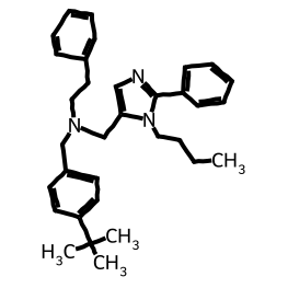 CCCCn1c(CN(CCc2ccccc2)Cc2ccc(C(C)(C)C)cc2)cnc1-c1ccccc1